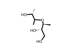 CC(O[C@@H](C)[C@@H](O)CO)[C@@H](C)O